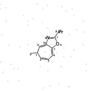 CC1C=CC=c2oc(C(C)C)nc2=C1